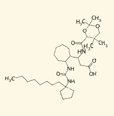 CCCCCCCCC1(NC(=O)NC2CCCCCC2C(CC(=O)O)NC(=O)C2OC(C)(C)OCC2(C)C)CCCC1